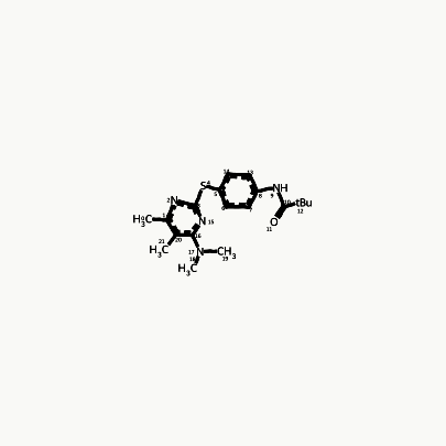 Cc1nc(Sc2ccc(NC(=O)C(C)(C)C)cc2)nc(N(C)C)c1C